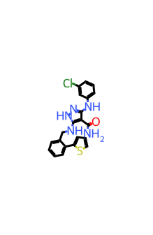 NC(=O)c1c(Nc2cccc(Cl)c2)n[nH]c1NCc1ccccc1-c1cccs1